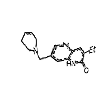 CCc1cc2ncc(CN3CC=CCC3)cc2[nH]c1=O